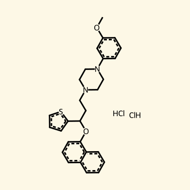 COc1cccc(N2CCN(CCC(Oc3cccc4ccccc34)c3cccs3)CC2)c1.Cl.Cl